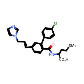 CSCC[C@H](NC(=O)c1ccc(/C=C/Cn2ccnc2)cc1-c1ccc(Cl)cc1)C(=O)O